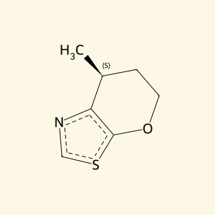 C[C@H]1CCOc2scnc21